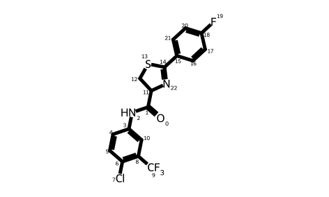 O=C(Nc1ccc(Cl)c(C(F)(F)F)c1)C1CSC(c2ccc(F)cc2)=N1